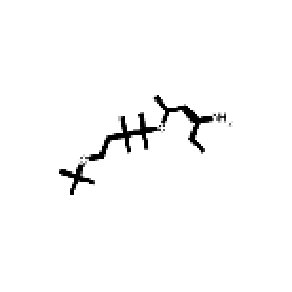 CC/C(N)=C\C(C)OC(C)(C)C(C)(C)CCOC(C)(C)C